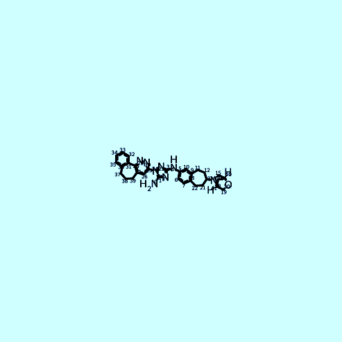 Nc1nc(Nc2ccc3c(c2)CCC(N2C[C@@H]4C[C@H]2CO4)CC3)nn1-c1cc2c(nn1)-c1ccccc1CCC2